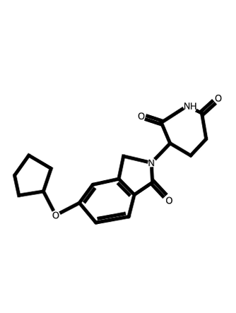 O=C1CCC(N2Cc3cc(OC4CCCC4)ccc3C2=O)C(=O)N1